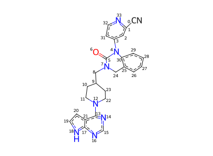 N#Cc1cc(N2C(=O)N(CC3CCN(c4ncnc5[nH]ccc45)CC3)Cc3ccccc32)ccn1